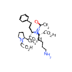 CCOC(=O)[C@H](CCc1ccccc1)N(C(=O)C(F)(F)F)[C@@H](CCCCN)C(=O)O.C[C@@H]1CCCN1C(=O)O